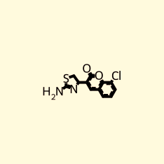 NC1=NC(c2cc3cccc(Cl)c3oc2=O)CS1